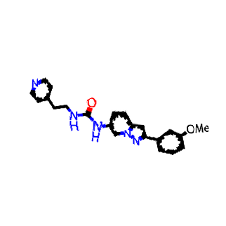 COc1cccc(-c2cc3ccc(NC(=O)NCCc4ccncc4)cn3n2)c1